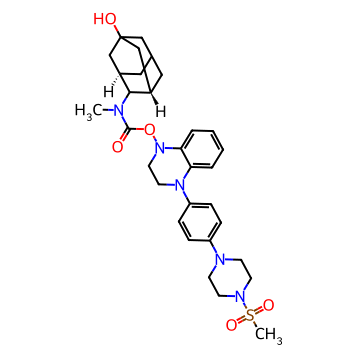 CN(C(=O)ON1CCN(c2ccc(N3CCN(S(C)(=O)=O)CC3)cc2)c2ccccc21)C1[C@@H]2CC3C[C@H]1CC(O)(C3)C2